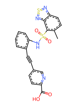 Cc1ccc2nsnc2c1S(=O)(=O)Nc1ccccc1C#Cc1ccc(C(=O)O)nc1